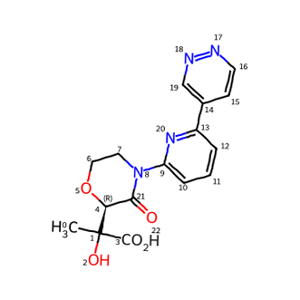 CC(O)(C(=O)O)[C@H]1OCCN(c2cccc(-c3ccnnc3)n2)C1=O